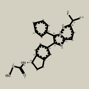 CC(C)(C)OC(=O)N[C@H]1CCc2cc(-c3nc4ccc(C(F)F)nn4c3-c3ccccc3)ccc21